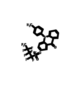 Cc1ccc(-[s+]2c3ccccc3c(=O)c3ccccc32)cc1.O=S(=O)([O-])C(F)(F)C(F)(F)C(F)(F)C(F)(F)F